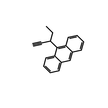 [C]#CC(CC)c1c2ccccc2cc2ccccc12